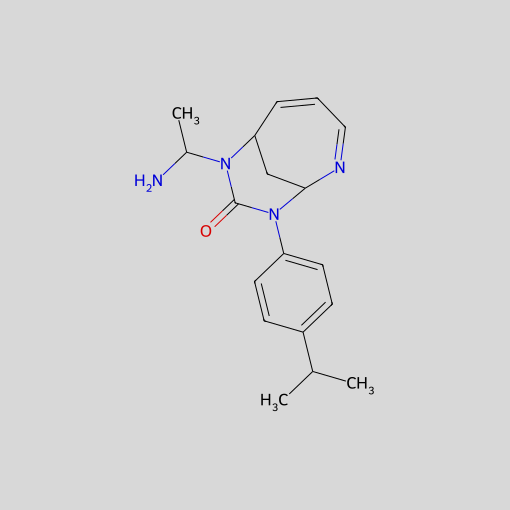 CC(C)c1ccc(N2C(=O)N(C(C)N)C3C=CC=NC2C3)cc1